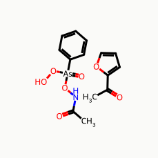 CC(=O)NO[As](=O)(OO)c1ccccc1.CC(=O)c1ccco1